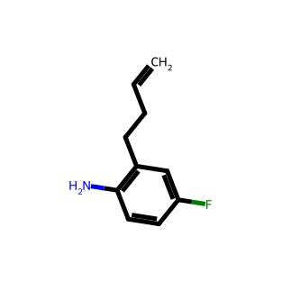 C=CCCc1cc(F)ccc1N